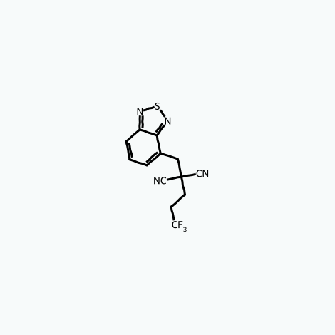 N#CC(C#N)(CCC(F)(F)F)Cc1cccc2nsnc12